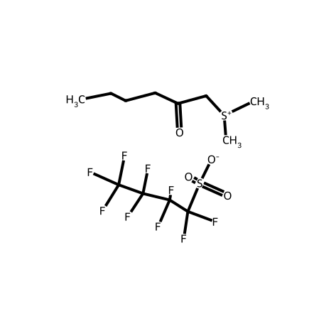 CCCCC(=O)C[S+](C)C.O=S(=O)([O-])C(F)(F)C(F)(F)C(F)(F)C(F)(F)F